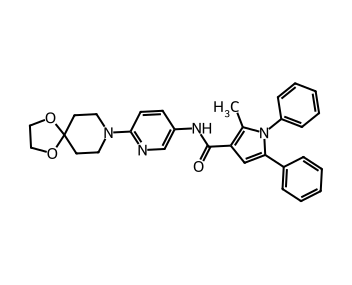 Cc1c(C(=O)Nc2ccc(N3CCC4(CC3)OCCO4)nc2)cc(-c2ccccc2)n1-c1ccccc1